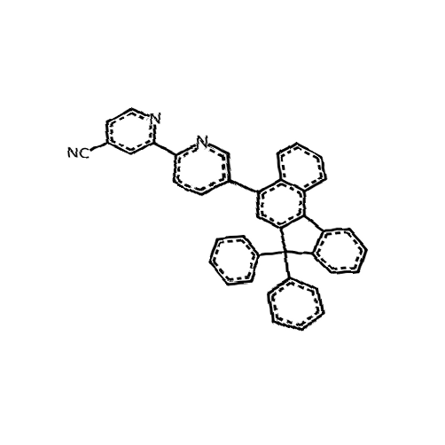 N#Cc1ccnc(-c2ccc(-c3cc4c(c5ccccc35)-c3ccccc3C4(c3ccccc3)c3ccccc3)cn2)c1